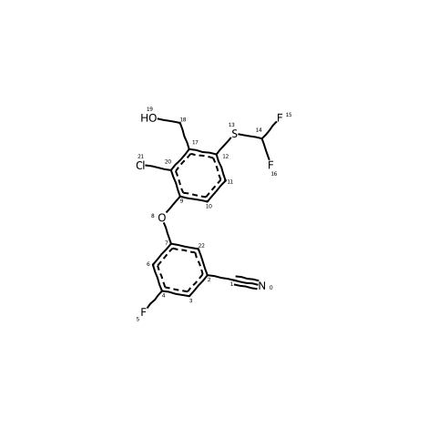 N#Cc1cc(F)cc(Oc2ccc(SC(F)F)c(CO)c2Cl)c1